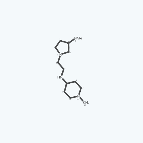 CNC1CCN(CCNC2CCN(C)CC2)C1